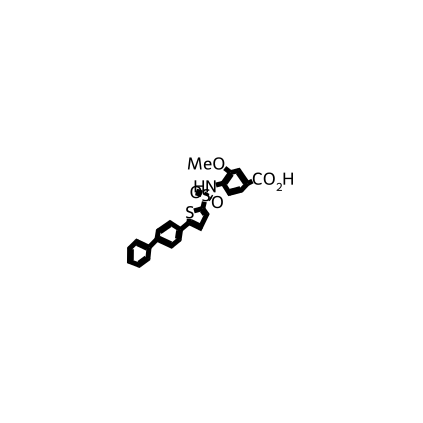 COc1cc(C(=O)O)ccc1NS(=O)(=O)c1ccc(-c2ccc(-c3ccccc3)cc2)s1